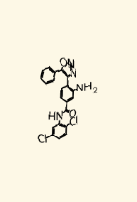 Nc1cc(C(=O)Nc2cc(Cl)ccc2Cl)ccc1-c1nnoc1-c1ccccc1